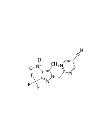 Cc1c([N+](=O)[O-])c(C(F)(F)F)nn1Cc1ncc(C#N)cn1